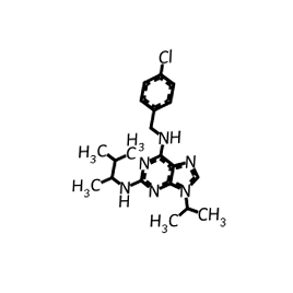 CC(C)C(C)Nc1nc(NCc2ccc(Cl)cc2)c2ncn(C(C)C)c2n1